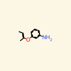 CC=C(C)Oc1cccc(N)c1